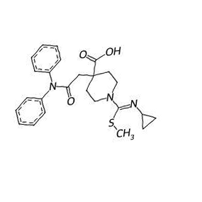 CS/C(=N\C1CC1)N1CCC(CC(=O)N(c2ccccc2)c2ccccc2)(C(=O)O)CC1